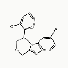 Clc1ccccc1C1COCc2nc3ccc(Br)cc3n21